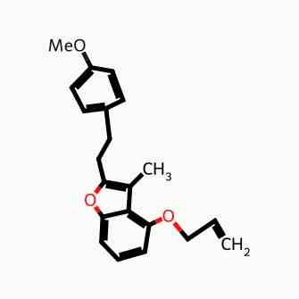 C=CCOc1cccc2oc(CCc3ccc(OC)cc3)c(C)c12